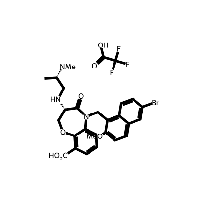 CN[C@@H](C)CN[C@H]1COc2c(C(=O)O)cccc2N(Cc2c(OC)ccc3cc(Br)ccc23)C1=O.O=C(O)C(F)(F)F